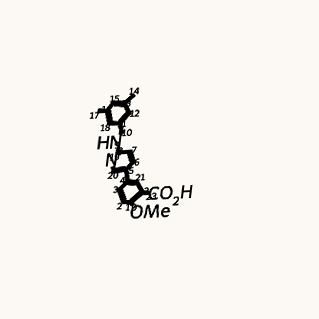 COc1ccc(-c2ccc(NCc3cc(C)cc(C)c3)nc2)cc1C(=O)O